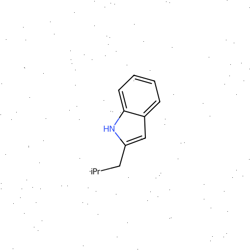 C[C](C)Cc1cc2ccccc2[nH]1